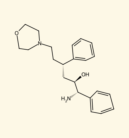 N[C@@H](c1ccccc1)[C@H](O)C[C@H](CCN1CCOCC1)c1ccccc1